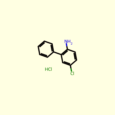 Cl.Nc1ccc(Cl)cc1-c1ccccc1